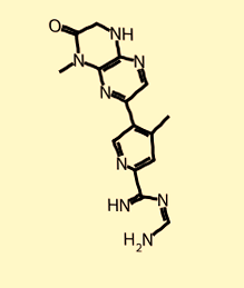 Cc1cc(C(=N)/N=C\N)ncc1-c1cnc2c(n1)N(C)C(=O)CN2